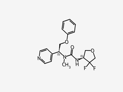 CN(C(=O)N[C@H]1COCC1(F)F)[C@H](COc1ccccc1)c1ccncc1